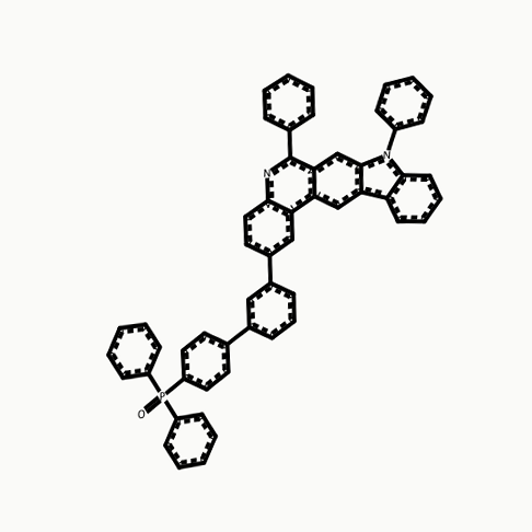 O=P(c1ccccc1)(c1ccccc1)c1ccc(-c2cccc(-c3ccc4nc(-c5ccccc5)c5cc6c(cc5c4c3)c3ccccc3n6-c3ccccc3)c2)cc1